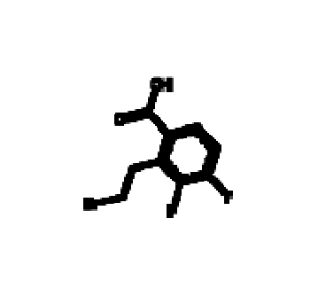 O=C(O)c1ccc(F)c(F)c1CCBr